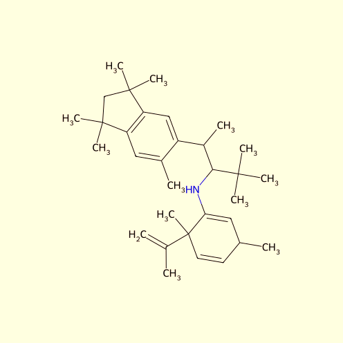 C=C(C)C1(C)C=CC(C)C=C1NC(C(C)c1cc2c(cc1C)C(C)(C)CC2(C)C)C(C)(C)C